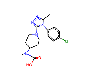 Cc1nnc(N2CCC(N(C)C(=O)O)CC2)n1-c1ccc(Cl)cc1